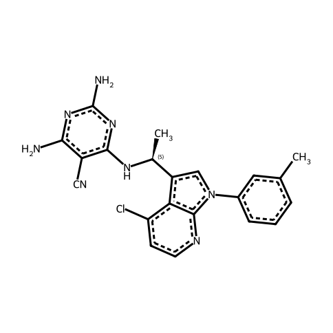 Cc1cccc(-n2cc([C@H](C)Nc3nc(N)nc(N)c3C#N)c3c(Cl)ccnc32)c1